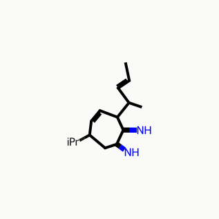 C/C=C/C(C)C1C=CC(C(C)C)CC(=N)C1=N